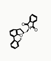 O=C1c2ccccc2C(=O)N1C[C@H]1Cc2cccc(-c3ccccc3F)c2O1